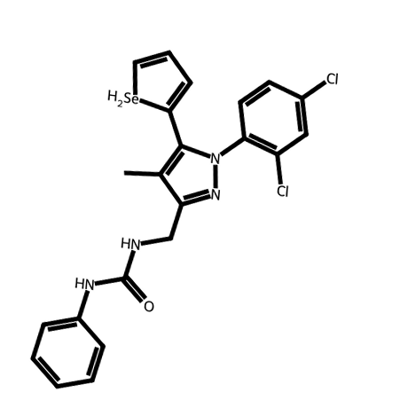 Cc1c(CNC(=O)Nc2ccccc2)nn(-c2ccc(Cl)cc2Cl)c1C1=CC=C[SeH2]1